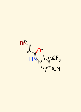 N#Cc1ccc(NC(=O)CCBr)cc1C(F)(F)F